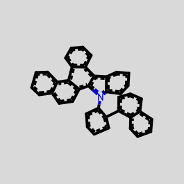 c1ccc(-n2c3ccccc3c3c4ccccc4c4c5ccccc5ccc4c32)c(-c2cccc3ccccc23)c1